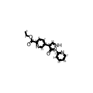 CCOC(=O)c1ccc(-c2c[nH]n(-c3ccccn3)c2=O)cn1